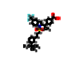 CC(c1ccc(C(=O)O)cc1)c1cc2cc(C(F)(F)F)ccc2n1S(=O)(=O)CC=Cc1cccc(C(C)(C)C)c1